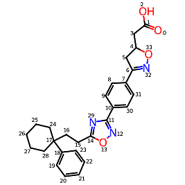 O=C(O)CC1CC(c2ccc(-c3noc(CCC4(c5ccccc5)CCCCC4)n3)cc2)=NO1